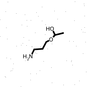 C[C](O)OCCCN